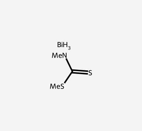 CNC(=S)SC.[BiH3]